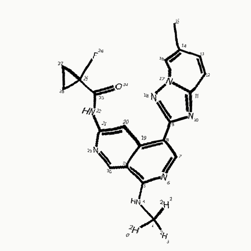 [2H]C([2H])([2H])Nc1ncc(-c2nc3ccc(C)cn3n2)c2cc(NC(=O)C3(F)CC3)ncc12